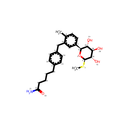 CS[C@H]1O[C@@H](c2ccc(C)c(Cc3ccc(CCCCC(N)=O)cc3)c2)[C@H](O)[C@@H](O)[C@@H]1O